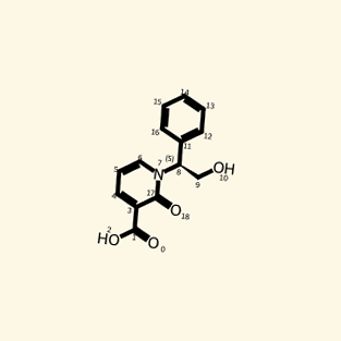 O=C(O)c1cccn([C@H](CO)c2ccccc2)c1=O